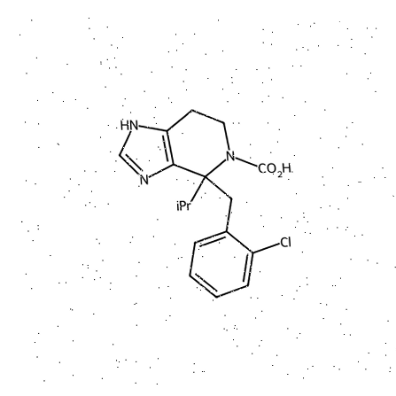 CC(C)C1(Cc2ccccc2Cl)c2nc[nH]c2CCN1C(=O)O